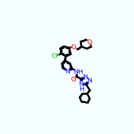 O=C(Nc1cc(-c2cc(OCC3CCOCC3)ccc2Cl)ccn1)c1nnc(CC2CCCCC2)[nH]1